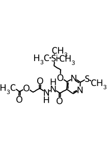 CSc1ncc(C(=O)NNC(=O)COC(C)=O)c(OCC[Si](C)(C)C)n1